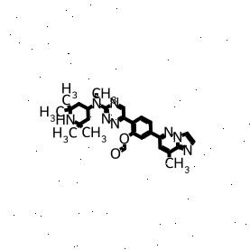 Cc1cc(-c2ccc(-c3cnc(N(C)C4CC(C)(C)NC(C)(C)C4)nn3)c(OC=O)c2)nn2ccnc12